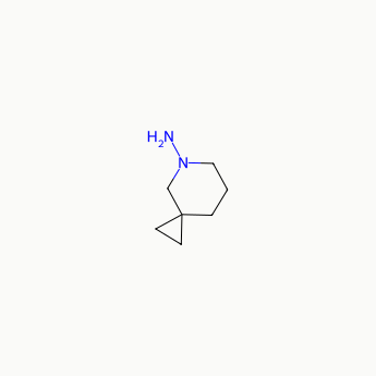 NN1CCCC2(CC2)C1